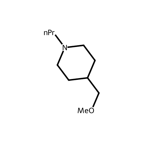 CCCN1CCC(COC)CC1